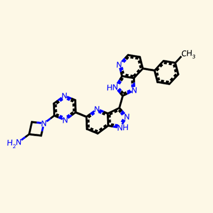 Cc1cccc(-c2ccnc3[nH]c(-c4n[nH]c5ccc(-c6cncc(N7CC(N)C7)n6)nc45)nc23)c1